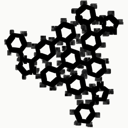 c1ccc(-n2ccnc2-c2ccc(-c3ccccc3-c3cc(-c4ccccc4-c4ccc(-c5nccn5-c5ccccc5)cc4)cc(-c4ccccc4-c4ccc5c(c4)c4nccn4c4cccnc54)c3)cc2)cc1